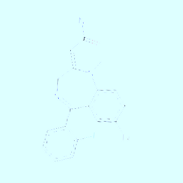 CN1C(=CC(N)=O)CN=C(c2ccccc2F)c2cc(Br)ccc21